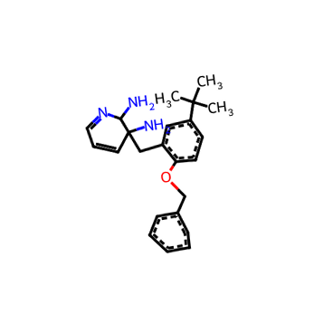 CC(C)(C)c1ccc(OCc2ccccc2)c(CC2(N)C=CC=NC2N)c1